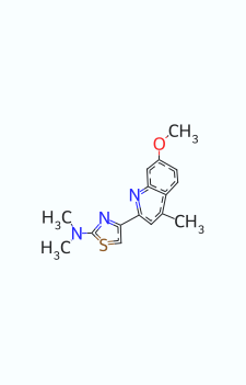 COc1ccc2c(C)cc(-c3csc(N(C)C)n3)nc2c1